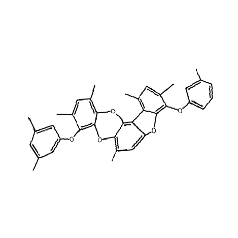 Cc1cc(C)cc(Oc2c(C)cc(C)c3c2Oc2c(C)cc4oc5c(Oc6cccc(C)c6)c(C)cc(C)c5c4c2O3)c1